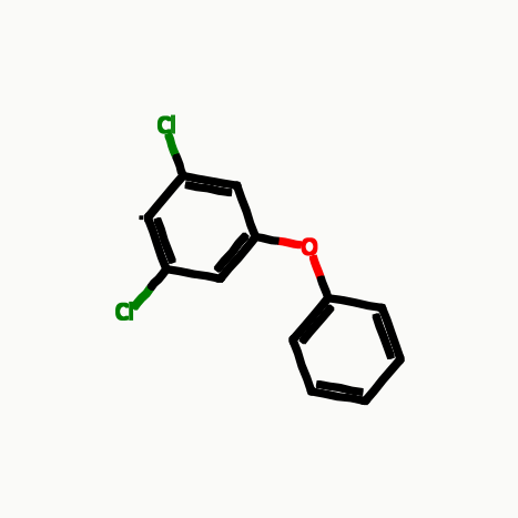 Clc1[c]c(Cl)cc(Oc2ccccc2)c1